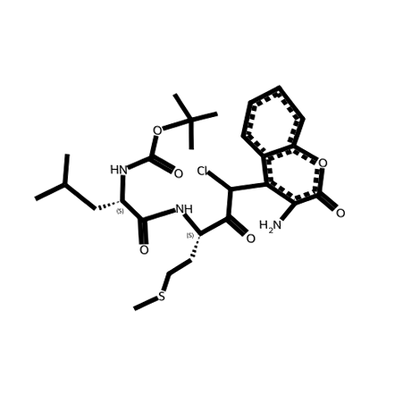 CSCC[C@H](NC(=O)[C@H](CC(C)C)NC(=O)OC(C)(C)C)C(=O)C(Cl)c1c(N)c(=O)oc2ccccc12